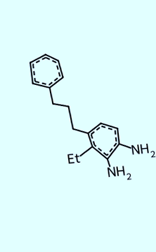 CCc1c(CCCc2ccccc2)ccc(N)c1N